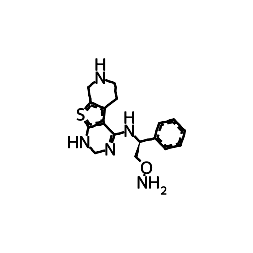 NOC[C@@H](NC1=NCNc2sc3c(c21)CCNC3)c1ccccc1